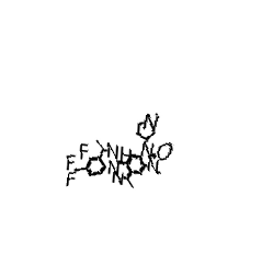 Cc1nnc(N[C@H](C)c2cccc(C(F)F)c2F)c2cc3c(cc12)n(C)c(=O)n3C1CCN(C)C1